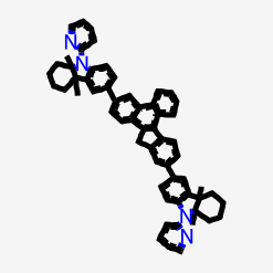 CC12CCCCC1(C)N(c1ccccn1)c1ccc(-c3ccc4c(c3)Cc3c-4c4ccccc4c4cc(-c5ccc6c(c5)C5(C)CCCCC5(C)N6c5ccccn5)ccc34)cc12